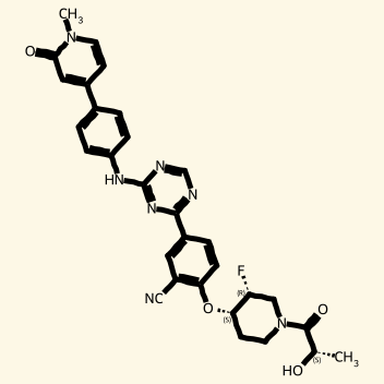 C[C@H](O)C(=O)N1CC[C@H](Oc2ccc(-c3ncnc(Nc4ccc(-c5ccn(C)c(=O)c5)cc4)n3)cc2C#N)[C@H](F)C1